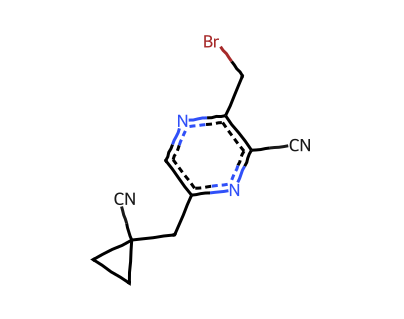 N#Cc1nc(CC2(C#N)CC2)cnc1CBr